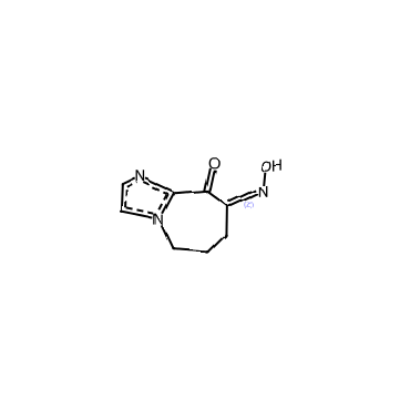 O=C1/C(=N\O)CCCn2ccnc21